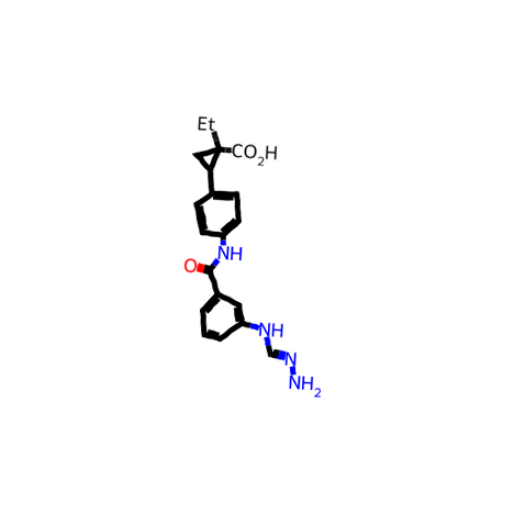 CCC1(C(=O)O)CC1c1ccc(NC(=O)c2cccc(NC=NN)c2)cc1